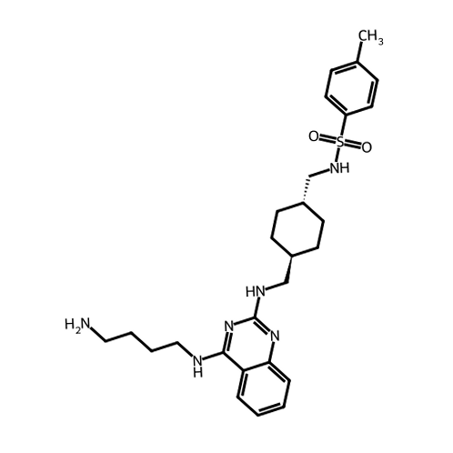 Cc1ccc(S(=O)(=O)NC[C@H]2CC[C@H](CNc3nc(NCCCCN)c4ccccc4n3)CC2)cc1